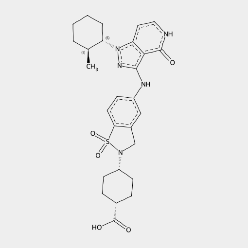 C[C@H]1CCCC[C@@H]1n1nc(Nc2ccc3c(c2)CN([C@H]2CC[C@@H](C(=O)O)CC2)S3(=O)=O)c2c(=O)[nH]ccc21